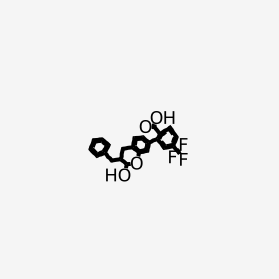 O=C(O)c1ccc(C(F)(F)F)cc1-c1ccc2c(c1)OC(O)C(Cc1ccccc1)C2